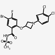 CS(=O)(=O)NC(=O)c1cc(Br)c(F)cc1OC1CN(c2ccc(Cl)c(Cl)c2)C1